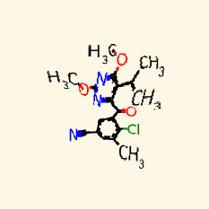 COc1nc(OC)c(C(C)C)c(C(=O)c2cc(C#N)cc(C)c2Cl)n1